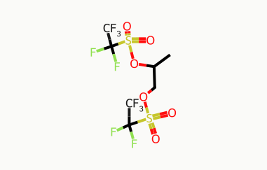 CC(COS(=O)(=O)C(F)(F)C(F)(F)F)OS(=O)(=O)C(F)(F)C(F)(F)F